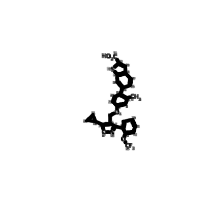 Cc1cc(OCc2c(-c3ccccc3OC(F)(F)F)noc2C2CC2)ccc1-c1ccc2cc(C(=O)O)sc2c1